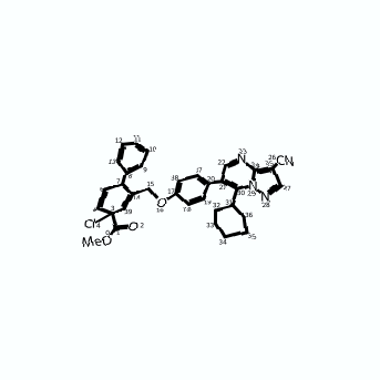 COC(=O)C1(Cl)C=CC(c2ccccc2)C(COc2ccc(-c3cnc4c(C#N)cnn4c3C3CCCCC3)cc2)=C1